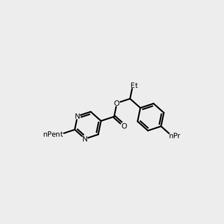 CCCCCc1ncc(C(=O)OC(CC)c2ccc(CCC)cc2)cn1